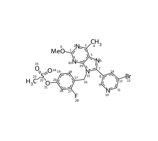 COc1nc(C)c2nc(-c3cncc(Br)c3)n(Cc3ccc(OS(C)(=O)=O)cc3F)c2n1